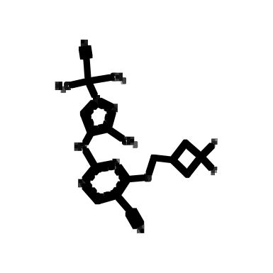 Cc1nn(C(C)(C)C#N)cc1Nc1ncc(C#N)c(OCC2CC(F)(F)C2)n1